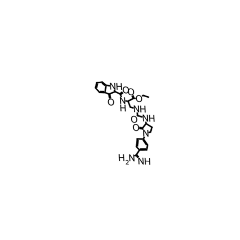 CCOC(=O)C(CNC(=O)NC1CCN(c2ccc(C(=N)N)cc2)C1=O)NC(=O)C1Nc2ccccc2C1=O